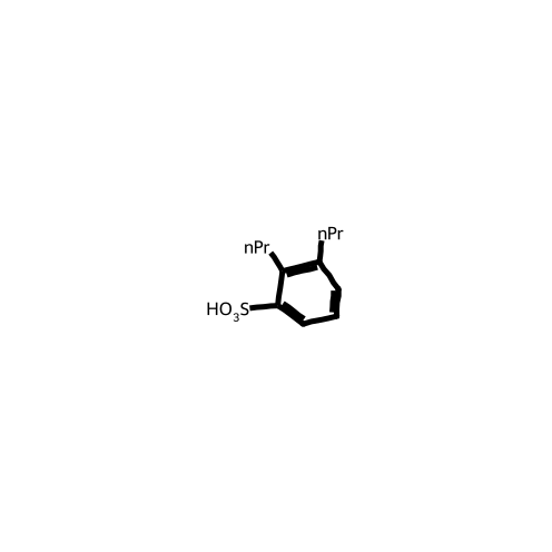 CCCc1cccc(S(=O)(=O)O)c1CCC